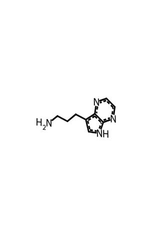 NCCCc1c[nH]c2nccnc12